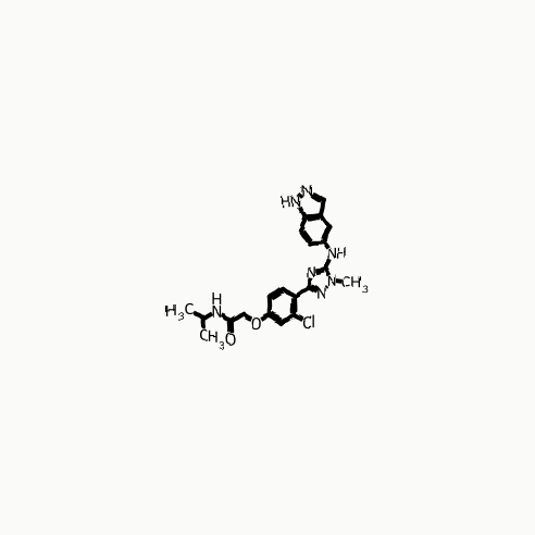 CC(C)NC(=O)COc1ccc(-c2nc(Nc3ccc4[nH]ncc4c3)n(C)n2)c(Cl)c1